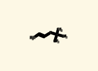 CC=CO[Si](C)(C)C